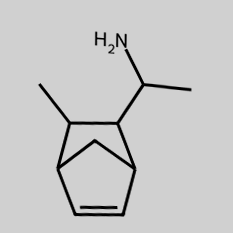 CC(N)C1C2C=CC(C2)C1C